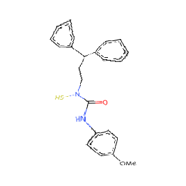 COc1ccc(NC(=O)N(S)CCC(c2ccccc2)c2ccccc2)cc1